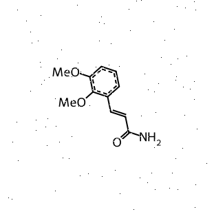 COc1cccc(/C=C/C(N)=O)c1OC